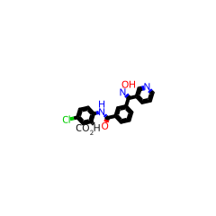 O=C(Nc1ccc(Cl)cc1C(=O)O)c1cccc(C(=NO)c2cccnc2)c1